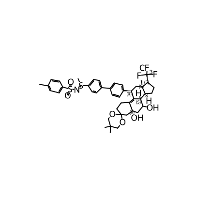 Cc1ccc(S(=O)(=O)N=S(C)c2ccc(-c3ccc([C@H]4C[C@]5(C)[C@@H](C(F)(F)C(F)(F)F)CC[C@H]5[C@H]5C4=C4CCC6(C[C@]4(O)CC5O)OCC(C)(C)CO6)cc3)cc2)cc1